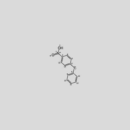 O=[N+](O)c1ccc([I+]c2ccccc2)cc1